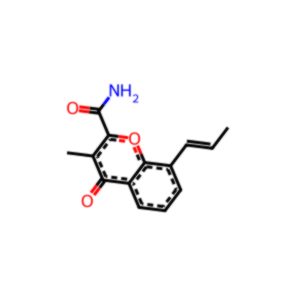 CC=Cc1cccc2c(=O)c(C)c(C(N)=O)oc12